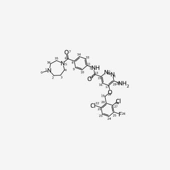 CN1CCCN(C(=O)c2ccc(NC(=O)c3cc(OCc4c(Cl)ccc(F)c4Cl)c(N)nn3)cc2)CC1